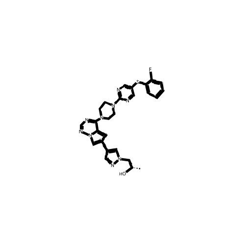 C[C@H](O)Cn1cc(-c2cc3c(N4CCN(c5ncc(Sc6ccccc6F)cn5)CC4)ncnn3c2)cn1